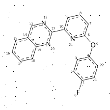 Fc1ccc(Oc2cccc(-c3ncc4ccccc4n3)n2)cc1